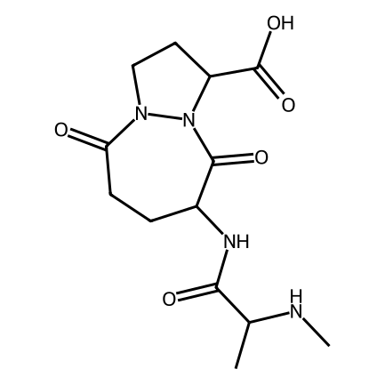 CNC(C)C(=O)NC1CCC(=O)N2CCC(C(=O)O)N2C1=O